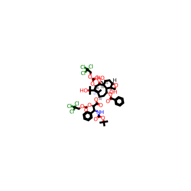 C/C1=C(/C(C)(C)O)[C@@H](OC(=O)OCC(Cl)(Cl)Cl)C(=O)[C@@]2(C)C([C@H](OC(=O)c3ccccc3)C[C@@H]1OC(=O)[C@H](OC(=O)OCC(Cl)(Cl)Cl)[C@@H](NC(=O)OC(C)(C)C)c1ccccc1)[C@]1(O)CO[C@@H]1C[C@@H]2O